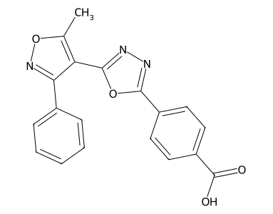 Cc1onc(-c2ccccc2)c1-c1nnc(-c2ccc(C(=O)O)cc2)o1